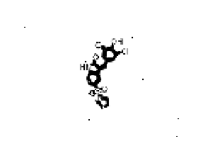 O=C1Nc2ccc(S(=O)(=O)N3CCCC3)cc2/C1=C/c1cc(Cl)c(O)c(Cl)c1